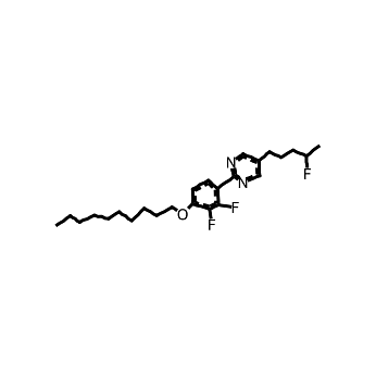 CCCCCCCCCCOc1ccc(-c2ncc(CCCC(C)F)cn2)c(F)c1F